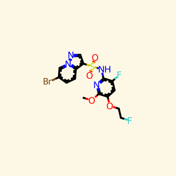 COc1nc(NS(=O)(=O)c2cnn3cc(Br)ccc23)c(F)cc1OCCF